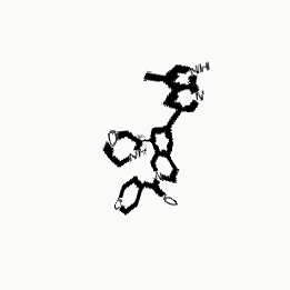 Cc1c[nH]c2ncc(-c3cc4c(c([C@@H]5COCCN5)c3)CN(C(=O)C3CCOCC3)CC4)cc12